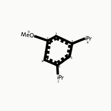 COc1cc(C(C)C)[c]c(C(C)C)c1